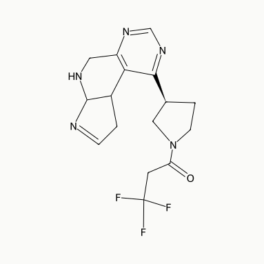 O=C(CC(F)(F)F)N1CC[C@H](c2ncnc3c2C2CC=NC2NC3)C1